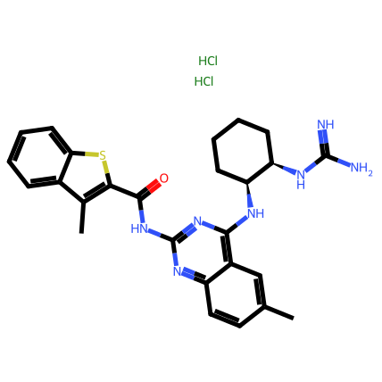 Cc1ccc2nc(NC(=O)c3sc4ccccc4c3C)nc(N[C@H]3CCCC[C@H]3NC(=N)N)c2c1.Cl.Cl